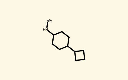 CCCNC1CCC(C2CCC2)CC1